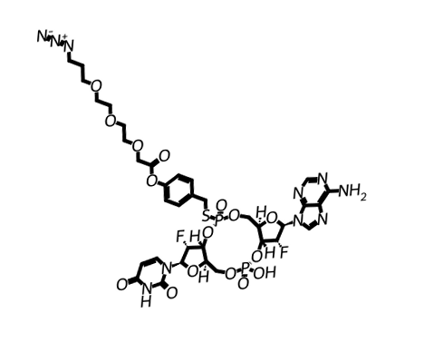 [N-]=[N+]=NCCCOCCOCCOCC(=O)Oc1ccc(CSP2(=O)OC[C@H]3O[C@@H](n4cnc5c(N)ncnc54)[C@H](F)[C@@H]3OP(=O)(O)OC[C@H]3O[C@@H](n4ccc(=O)[nH]c4=O)[C@H](F)[C@@H]3O2)cc1